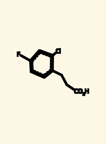 O=C(O)CCc1ccc(F)cc1Cl